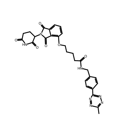 Cc1nnc(-c2ccc(CNC(=O)CCCCOc3cccc4c3C(=O)N(C3CCC(=O)NC3=O)C4=O)cc2)nn1